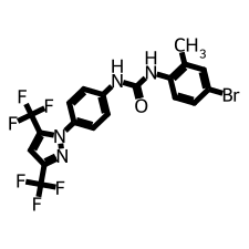 Cc1cc(Br)ccc1NC(=O)Nc1ccc(-n2nc(C(F)(F)F)cc2C(F)(F)F)cc1